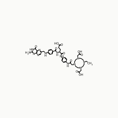 CCN1CCN(CC(=O)O)CCN(CC(=O)Nc2ccc(NC(=O)C(CCC(=O)O)NC(=O)c3ccc(NCc4cnc5nc(N)[nH]c(=O)c5n4)cc3)cc2)CCN(CC(=O)O)CC1